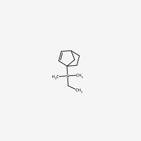 CC[Si](C)(C)C12C=CC(CC1)C2